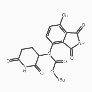 CC(C)(C)OC(=O)N(c1ccc(O)c2c1C(=O)NC2=O)C1CCC(=O)NC1=O